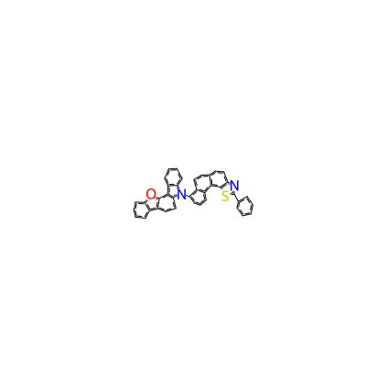 c1ccc(-c2nc3ccc4ccc5c(-n6c7ccccc7c7c8oc9ccccc9c8ccc76)cccc5c4c3s2)cc1